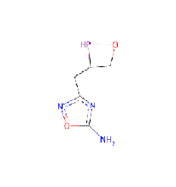 Nc1nc(CC2COP2)no1